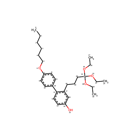 CCCCCCOc1ccc(-c2ccc(O)cc2CCC[Si](OCC)(OCC)OCC)cc1